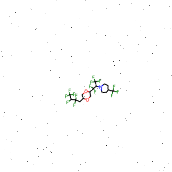 FC(C(F)(F)F)C(F)(F)CC1COC(C(F)(F)C(N2CCC(C(F)(F)F)CC2)C(F)(F)F)CO1